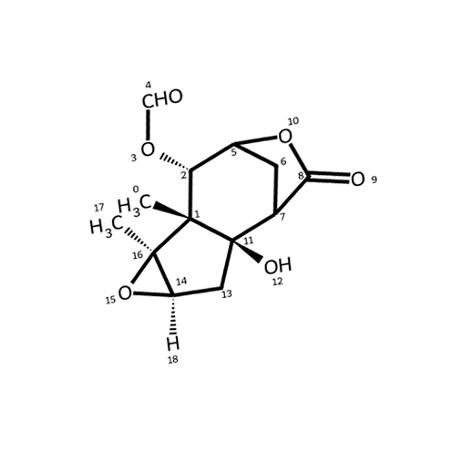 C[C@@]12[C@H](OC=O)C3CC(C(=O)O3)[C@]1(O)C[C@H]1O[C@]12C